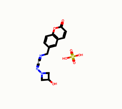 O=S(=O)(O)O.O=c1ccc2cc(CN=C=NN3CC(O)C3)ccc2o1